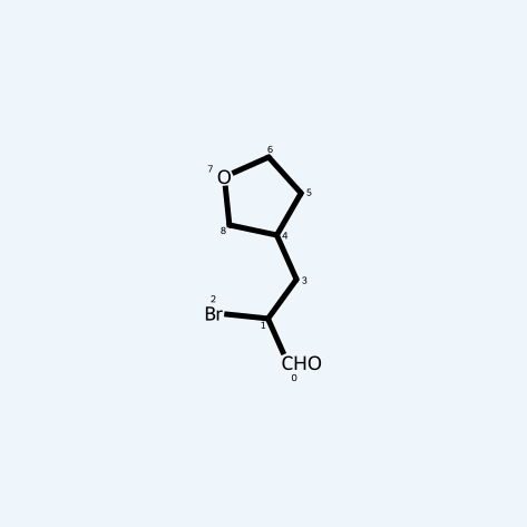 O=CC(Br)CC1CCOC1